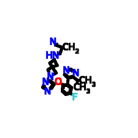 C=C(C#N)CNC1CC2(C1)CN(c1ncncc1Oc1ccc(F)cc1-c1cncnc1C(C)C)C2